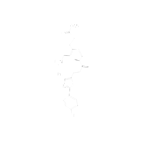 C=C(CCc1sc(-c2ccc(C(F)(F)F)cc2)nc1C(C)C)c1ccc(CCC(=O)OC)c(CN)c1